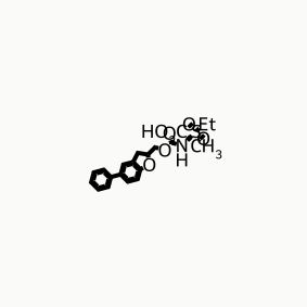 CCS(=O)(=O)C(C)(NC(=O)OCC1Cc2cc(-c3ccccc3)ccc2O1)C(=O)O